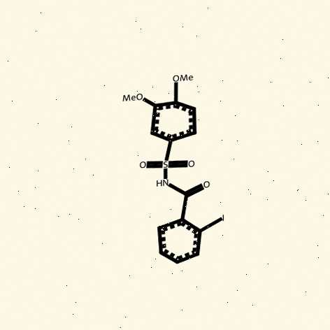 COc1ccc(S(=O)(=O)NC(=O)c2ccccc2I)cc1OC